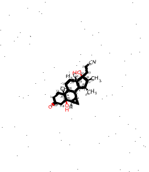 C[C@H]1C2C3C4C[C@H]4[C@]4(O)CC(=O)CC[C@]4(C)C3CC[C@]2(C)[C@](O)(CCC#N)[C@H]1C